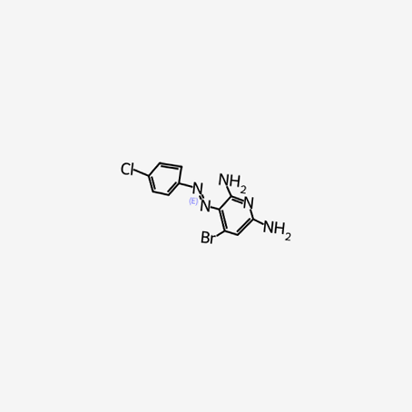 Nc1cc(Br)c(/N=N/c2ccc(Cl)cc2)c(N)n1